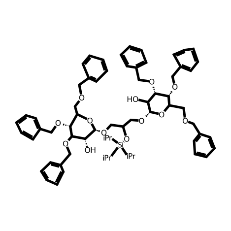 CC(C)[Si](OC(CO[C@H]1OC(COCc2ccccc2)[C@@H](OCc2ccccc2)[C@@H](OCc2ccccc2)C1O)CO[C@H]1OC(COCc2ccccc2)[C@@H](OCc2ccccc2)C(OCc2ccccc2)[C@H]1O)(C(C)C)C(C)C